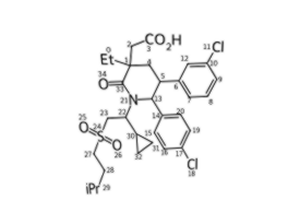 CCC1(CC(=O)O)CC(c2cccc(Cl)c2)C(c2ccc(Cl)cc2)N(C(CS(=O)(=O)CCC(C)C)C2CC2)C1=O